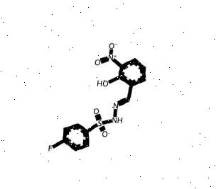 O=[N+]([O-])c1cccc(/C=N/NS(=O)(=O)c2ccc(F)cc2)c1O